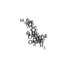 CC(=O)c1nn(CC(=O)N2C[C@H](F)C[C@@]2(C)C(=O)N[C@@H]2CC2(Cl)Cl)c2ccc(-c3cnc(C)nc3)cc12